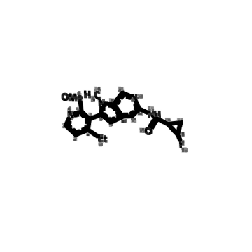 CCc1ccnc(OC)c1-c1cc2cc(NC(=O)C3CC3F)ncc2n1C